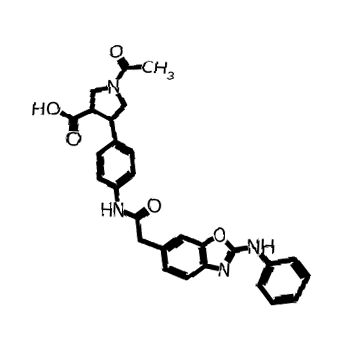 CC(=O)N1CC(C(=O)O)C(c2ccc(NC(=O)Cc3ccc4nc(Nc5ccccc5)oc4c3)cc2)C1